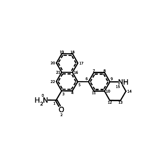 NC(=O)c1cc(-c2ccc3c(c2)CCCN3)c2ccccc2c1